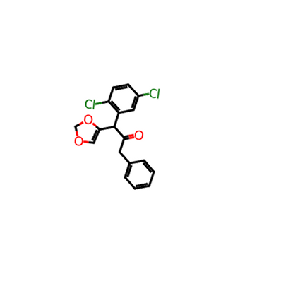 O=C(Cc1ccccc1)C(C1=COCO1)c1cc(Cl)ccc1Cl